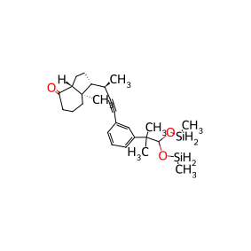 C[SiH2]OC(O[SiH2]C)C(C)(C)c1cccc(C#C[C@H](C)[C@H]2CC[C@H]3C(=O)CCC[C@]23C)c1